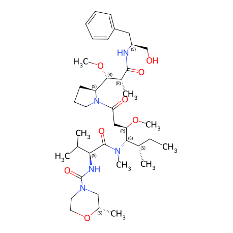 CC[C@H](C)[C@@H]([C@@H](CC(=O)N1CCC[C@H]1[C@H](OC)[C@@H](C)C(=O)N[C@H](CO)Cc1ccccc1)OC)N(C)C(=O)[C@@H](NC(=O)N1CCO[C@@H](C)C1)C(C)C